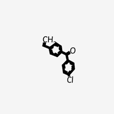 C=Cc1ccc(C(=O)c2ccc(Cl)cc2)cc1